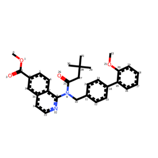 COC(=O)c1ccc2c(N(Cc3ccc(-c4ccccc4OC)cc3)C(=O)CC(C)(C)C)nccc2c1